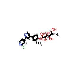 Cc1cc(-c2ccnc(-c3ccnc(Cl)c3)c2)ccc1OC(O)C(O)C(O)C(O)C(C)CO